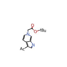 CC(=O)c1cnc2cn(CC(=O)OC(C)(C)C)ccc1-2